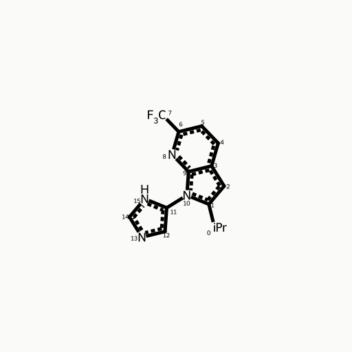 CC(C)c1cc2ccc(C(F)(F)F)nc2n1-c1cnc[nH]1